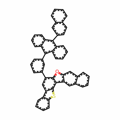 c1cc(-c2c3ccccc3c(-c3ccc4ccccc4c3)c3ccccc23)cc(-c2cc3c4ccccc4sc3c3c2oc2cc4ccccc4cc23)c1